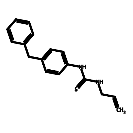 C=CCNC(=S)Nc1ccc(Cc2ccccc2)cc1